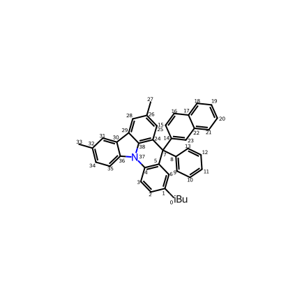 CCC(C)c1ccc2c(c1)C(c1ccccc1)(c1ccc3ccccc3c1)c1cc(C)cc3c4cc(C)ccc4n-2c13